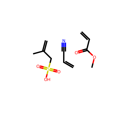 C=C(C)CS(=O)(=O)O.C=CC#N.C=CC(=O)OC